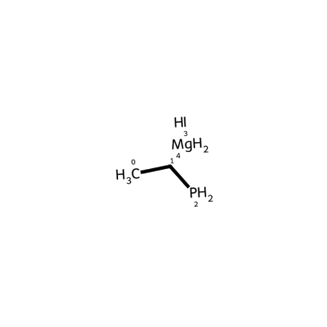 CCP.I.[MgH2]